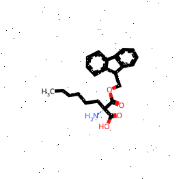 CCCCCC[C@](N)(C(=O)O)C(=O)OCC1c2ccccc2-c2ccccc21